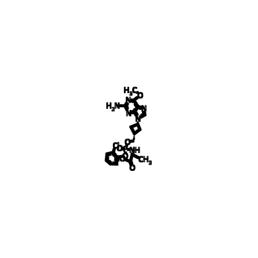 COc1nc(N)nc2c1ncn2[C@H]1C[C@@H](COP(=O)(NC(C)C(=O)O)Oc2ccccc2Cl)C1